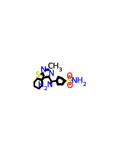 Cc1nc(C(N)c2ccc(S(N)(=O)=O)cc2)c2c3c(sc2n1)CCCC3